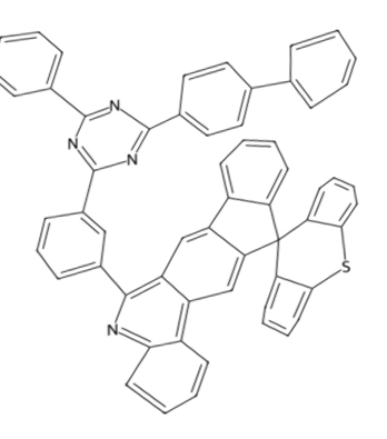 c1ccc(-c2ccc(-c3nc(-c4ccccc4)nc(-c4cccc(-c5nc6ccccc6c6cc7c(cc56)-c5ccccc5C75c6ccccc6Sc6ccccc65)c4)n3)cc2)cc1